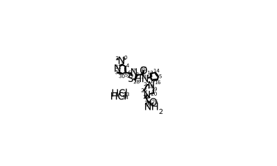 CN(C)c1cc(-c2nc(C(=O)Nc3ccccc3N3CCN(CC(N)=O)CC3)cs2)ccn1.Cl.Cl